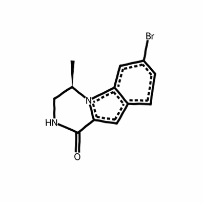 C[C@@H]1CNC(=O)c2cc3ccc(Br)cc3n21